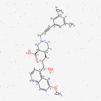 COc1ccc2nccc([C@@H](O)CC[C@@H]3CCN(CC#Cc4cc(C)cc(C)c4)C[C@@H]3C(=O)O)c2c1